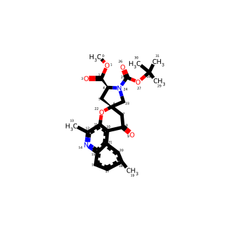 COC(=O)[C@@H]1C[C@]2(CC(=O)c3c(c(C)nc4ccc(C)cc34)O2)CN1C(=O)OC(C)(C)C